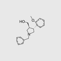 COc1ccccc1[C@@H]1CN(Cc2ccccc2)C[C@H]1CO